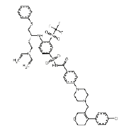 C=CN(C=C)CC[C@H](CSc1ccccc1)Nc1ccc(S(=O)(=O)NC(=O)c2ccc(N3CCN(CC4=C(c5ccc(Cl)cc5)CCOC4)CC3)cc2)cc1S(=O)(=O)C(F)(F)F